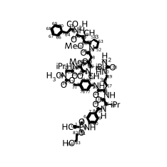 C#CP(=O)(Nc1ccc(C(=O)N[C@@H](C(=O)N[C@H](CCCNC(N)=O)C(=O)Nc2ccc(COC(=O)N(C)[C@@H](C(=O)N[C@@H](C(=O)N(C)[C@@H]([C@H](CC(=O)N3CCC[C@@H]3[C@@H](OC)[C@H](C)C(=O)N[C@H](Cc3ccccc3)C(=O)O)OC)[C@@H](C)CC)C(C)C)C(C)C)cc2)C(C)C)cc1)OCCO